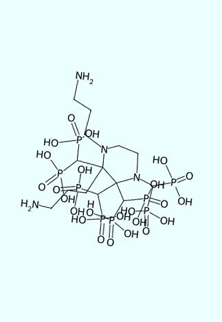 NCCCN1CCN(C(P(=O)(O)O)P(=O)(O)O)C(C(P(=O)(O)O)P(=O)(O)O)(C(P(=O)(O)O)P(=O)(O)O)C1(CCCN)C(P(=O)(O)O)P(=O)(O)O